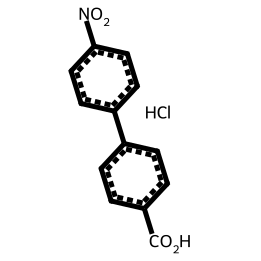 Cl.O=C(O)c1ccc(-c2ccc([N+](=O)[O-])cc2)cc1